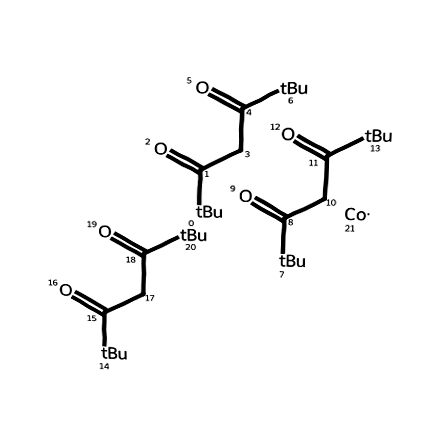 CC(C)(C)C(=O)CC(=O)C(C)(C)C.CC(C)(C)C(=O)CC(=O)C(C)(C)C.CC(C)(C)C(=O)CC(=O)C(C)(C)C.[Co]